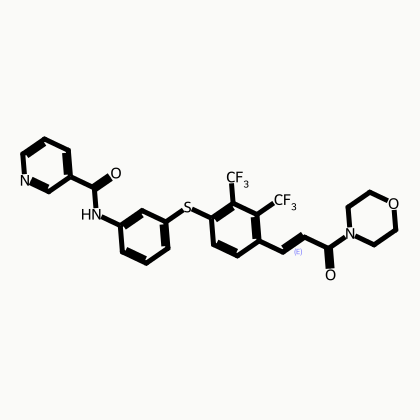 O=C(Nc1cccc(Sc2ccc(/C=C/C(=O)N3CCOCC3)c(C(F)(F)F)c2C(F)(F)F)c1)c1cccnc1